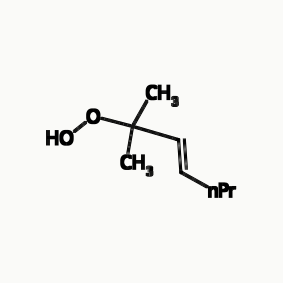 CCC/C=C/C(C)(C)OO